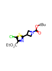 CCOC(=O)c1nc(C2CN(C(=O)OC(C)(C)C)C2)sc1Cl